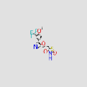 CCOc1ccc(-c2cncc3cc(C=C4SC(=O)NC4=O)oc23)cc1C(F)(F)F